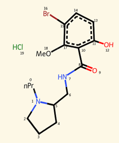 CCCN1CCCC1CNC(=O)c1c(O)ccc(Br)c1OC.Cl